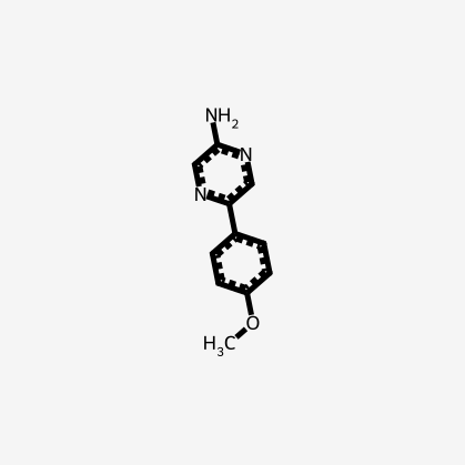 COc1ccc(-c2cnc(N)cn2)cc1